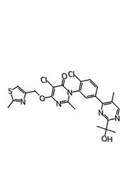 Cc1nc(COc2nc(C)n(-c3cc(-c4nc(C(C)(C)O)ncc4C)ccc3Cl)c(=O)c2Cl)cs1